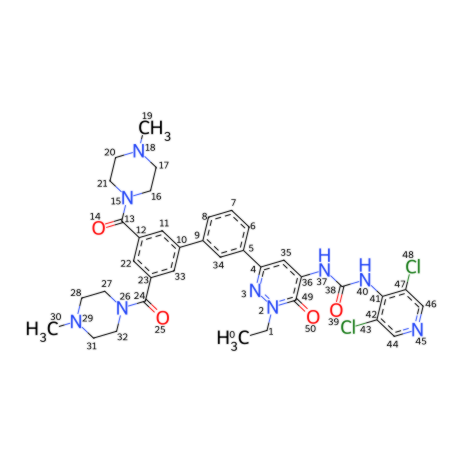 CCn1nc(-c2cccc(-c3cc(C(=O)N4CCN(C)CC4)cc(C(=O)N4CCN(C)CC4)c3)c2)cc(NC(=O)Nc2c(Cl)cncc2Cl)c1=O